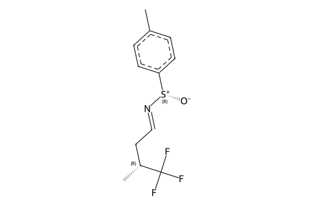 Cc1ccc([S@+]([O-])N=CC[C@@H](C)C(F)(F)F)cc1